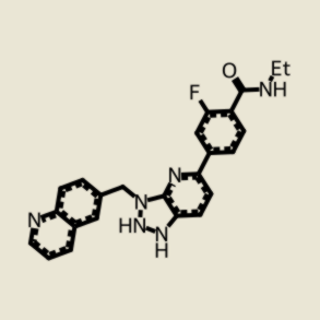 CCNC(=O)c1ccc(-c2ccc3c(n2)N(Cc2ccc4ncccc4c2)NN3)cc1F